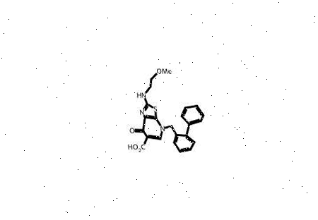 COCCNc1nc2c(=O)c(C(=O)O)cn(Cc3ccccc3-c3ccccc3)c2s1